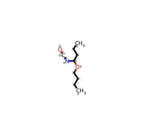 CCCCOC(CCC)N=C=O